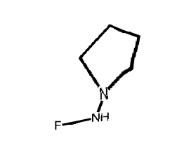 FNN1CCCC1